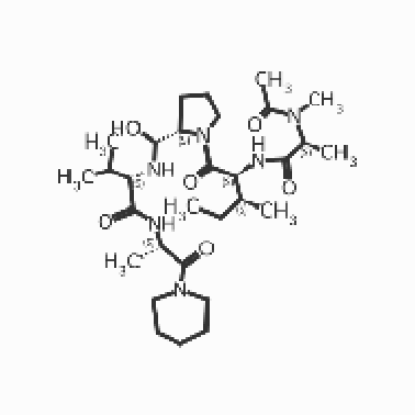 CC[C@H](C)[C@H](NC(=O)[C@H](C)N(C)C(C)=O)C(=O)N1CCC[C@H]1C(O)N[C@H](C(=O)N[C@@H](C)C(=O)N1CCCCC1)C(C)C